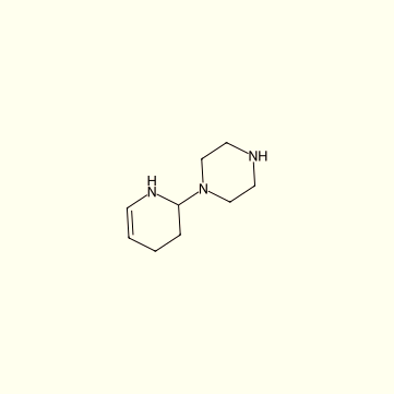 C1=CNC(N2CCNCC2)CC1